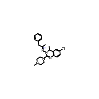 C/C(Cc1ccccc1)=N\N1C(N2CCN(C)CC2)=Nc2ccc(Cl)cc2C1C